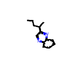 CCCC(C)c1cnc2ccccc2n1